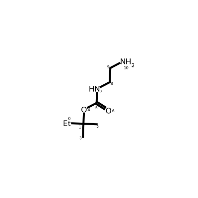 CCC(C)(C)OC(=O)NCCN